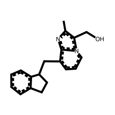 Cc1nc2c(CC3CCc4ccccc43)cccn2c1CO